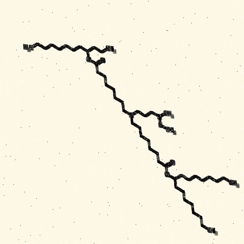 CCCCCCCCC(CCC)OC(=O)CCCCCCCN(CCCCCCCC(=O)OC(CCCCCCCC)CCCCCCCC)CCCN(C)SC